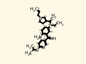 C=CCN1CCC(C(=C)N(CC)c2ccc(N)c(C(=N)c3ccc(OC(C)C)nc3)c2)C1